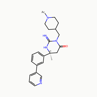 CC(=O)N1CCC(CN2C(=N)N[C@](C)(c3cccc(-c4cccnc4)c3)CC2=O)CC1